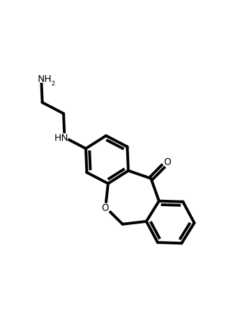 NCCNc1ccc2c(c1)OCc1ccccc1C2=O